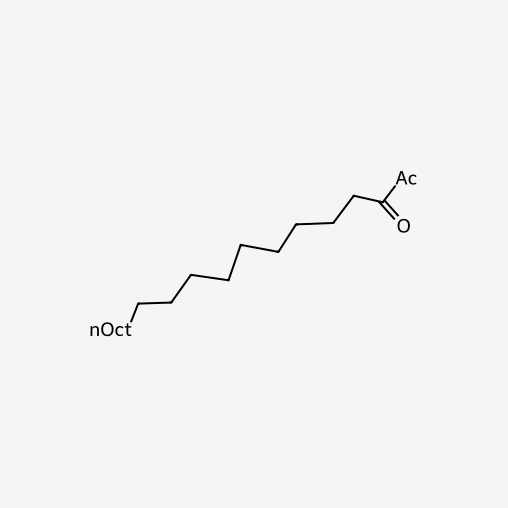 [CH2]C(=O)C(=O)CCCCCCCCCCCCCCCCC